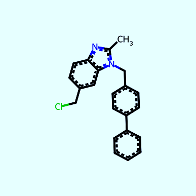 Cc1nc2ccc(CCl)cc2n1Cc1ccc(-c2ccccc2)cc1